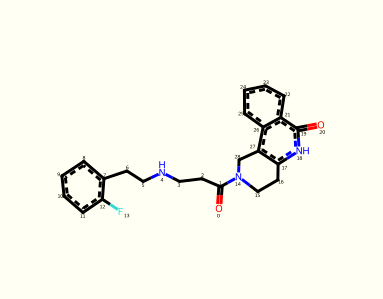 O=C(CCNCCc1ccccc1F)N1CCc2[nH]c(=O)c3ccccc3c2C1